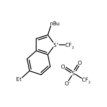 CCCCc1cc2cc(CC)ccc2[s+]1C(F)(F)F.O=S(=O)([O-])C(F)(F)F